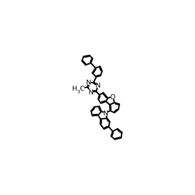 Cc1nc(-c2cccc(-c3ccccc3)c2)nc(-c2ccc3c(c2)oc2cccc(-n4c5ccccc5c5ccc(-c6ccccc6)cc54)c23)n1